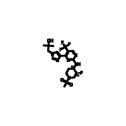 CC(C)(O)Cn1cnc(-c2nc(N[C@@H]3CCN(S(C)(=O)=O)C[C@H]3F)ncc2C(F)(F)F)c1